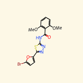 COc1cccc(OC)c1C(=O)Nc1nnc(-c2ccc(Br)o2)s1